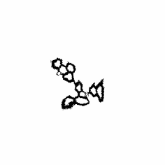 c1ccc2c(c1)Oc1ccc(-c3ccc4c(c3)c3c5ccccc5ccc3n4-c3ccc4ccccc4c3)c3cccc-2c13